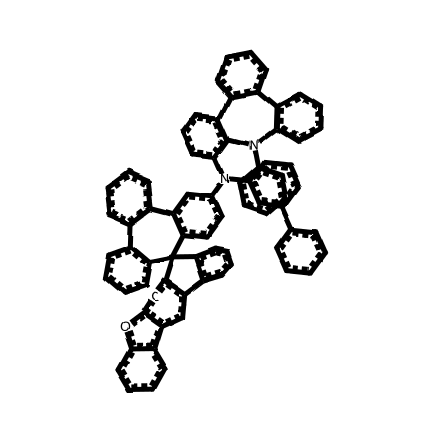 c1ccc(-c2cccc(N(c3ccc4c(c3)-c3ccccc3-c3ccccc3C43c4ccccc4-c4cc5c(cc43)oc3ccccc35)c3cccc4c3N(c3ccccc3)c3ccccc3-c3ccccc3-4)c2)cc1